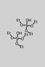 CCO[Si](O)(OCC)OCC.CCO[Si](O)(OCC)OCC